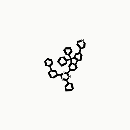 c1ccc(-c2cccc(-c3nc(-c4ccccc4)nc(-c4ccc5c(c4)C(c4ccccc4)(c4ccccc4)c4cc(-c6ccncc6)ccc4-5)n3)c2)cc1